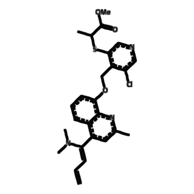 C=C/C=C(/c1cc(C)nc2c(OCc3c(Cl)cncc3SC(C)C(=O)OC)cccc12)N(C)C